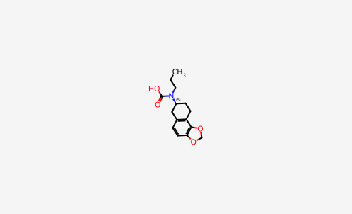 CCCN(C(=O)O)[C@H]1CCc2c(ccc3c2OCO3)C1